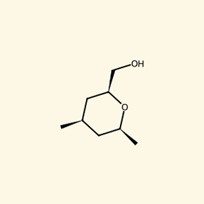 C[C@H]1C[C@@H](CO)O[C@@H](C)C1